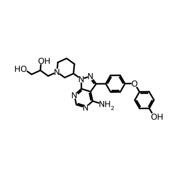 Nc1ncnc2c1c(-c1ccc(Oc3ccc(O)cc3)cc1)nn2C1CCCN(CC(O)CO)C1